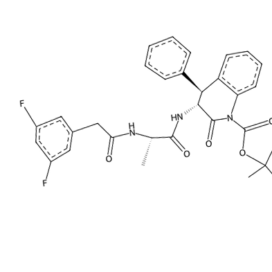 C[C@H](NC(=O)Cc1cc(F)cc(F)c1)C(=O)N[C@H]1C(=O)N(C(=O)OC(C)(C)C)c2ccccc2[C@@H]1c1ccccc1